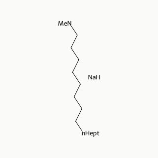 CCCCCCCCCCCCCCCNC.[NaH]